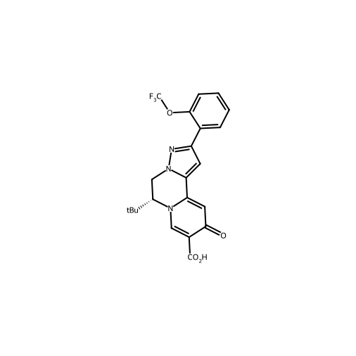 CC(C)(C)[C@@H]1Cn2nc(-c3ccccc3OC(F)(F)F)cc2-c2cc(=O)c(C(=O)O)cn21